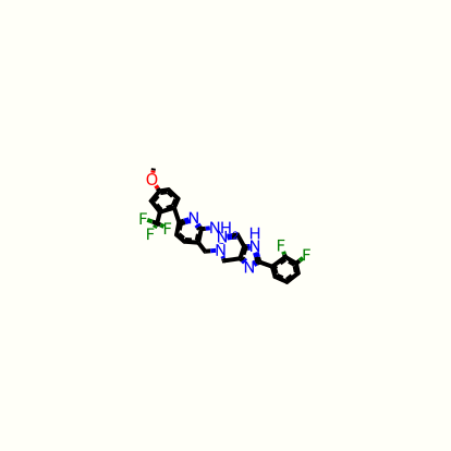 COc1ccc(-c2ccc(CN3Cc4nc(-c5cccc(F)c5F)[nH]c4C=N3)c(N)n2)c(C(F)(F)F)c1